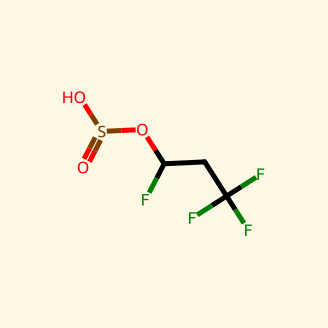 O=S(O)OC(F)CC(F)(F)F